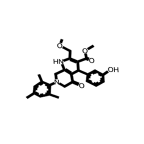 COCC1=C(C(=O)OC)C(c2cccc(O)c2)C2=C(CN(c3c(C)cc(C)cc3C)CC2=O)N1